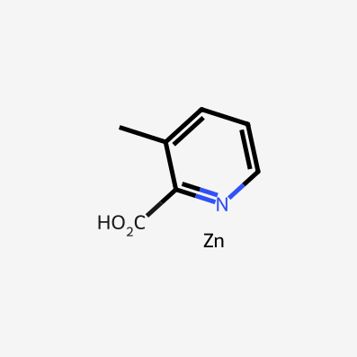 Cc1cccnc1C(=O)O.[Zn]